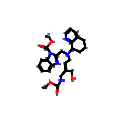 CC(C)(C)OC(=O)NCC(=CCN(Cc1nc2ccccc2n1C(=O)OC(C)(C)C)C1CCCc2cccnc21)CO